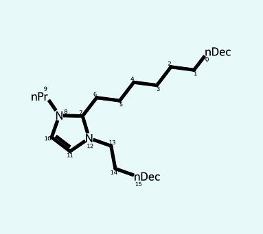 CCCCCCCCCCCCCCCCC1N(CCC)C=CN1CCCCCCCCCCCC